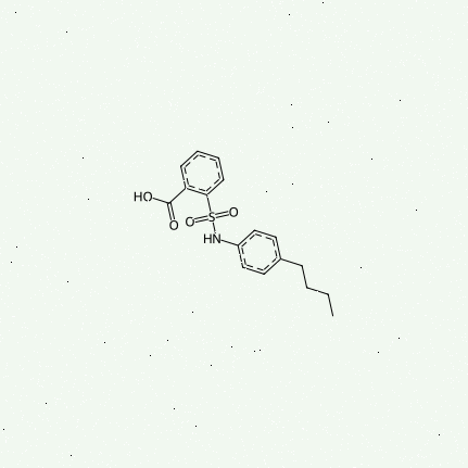 CCCCc1ccc(NS(=O)(=O)c2ccccc2C(=O)O)cc1